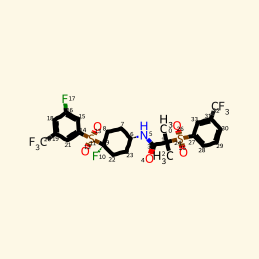 CC(C)(C(=O)N[C@H]1CC[C@](F)(S(=O)(=O)c2cc(F)cc(C(F)(F)F)c2)CC1)S(=O)(=O)c1cccc(C(F)(F)F)c1